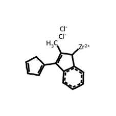 CC1=C(C2=CC=CC2)c2ccccc2[CH]1[Zr+2].[Cl-].[Cl-]